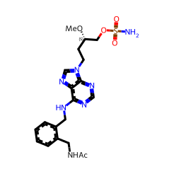 CO[C@@H](CCn1cnc2c(NCc3ccccc3CNC(C)=O)ncnc21)COS(N)(=O)=O